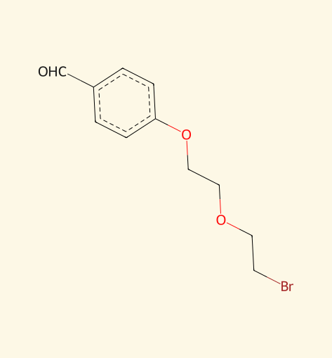 O=Cc1ccc(OCCOCCBr)cc1